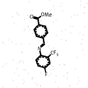 COC(=O)c1ccc(C=Nc2ccc(F)cc2C(F)(F)F)cc1